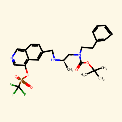 C[C@H](CN(CCc1ccccc1)C(=O)OC(C)(C)C)NCc1ccc2cncc(OS(=O)(=O)C(F)(F)F)c2c1